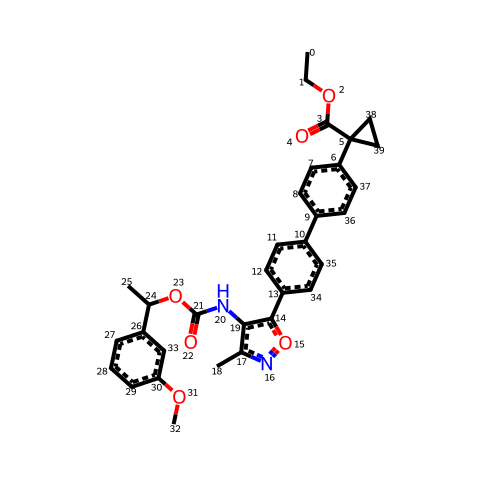 CCOC(=O)C1(c2ccc(-c3ccc(-c4onc(C)c4NC(=O)OC(C)c4cccc(OC)c4)cc3)cc2)CC1